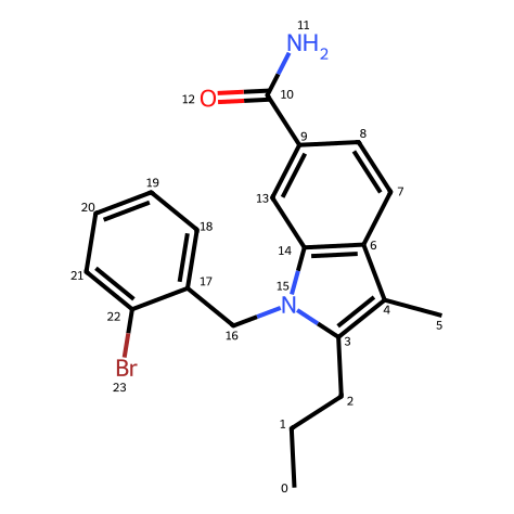 CCCc1c(C)c2ccc(C(N)=O)cc2n1Cc1ccccc1Br